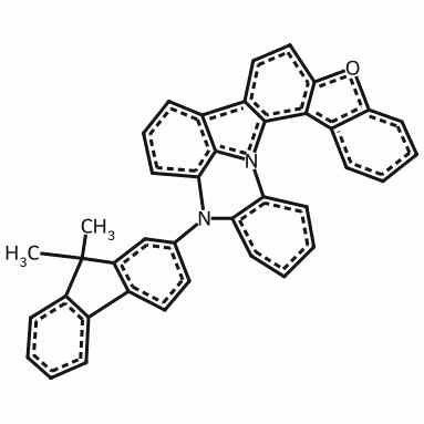 CC1(C)c2ccccc2-c2ccc(N3c4ccccc4-n4c5c3cccc5c3ccc5oc6ccccc6c5c34)cc21